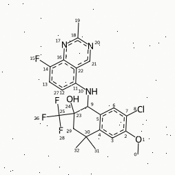 COc1cc2c(cc1Cl)C(Nc1ccc(F)c3nc(C)ncc13)C(O)(C(F)(F)F)CC2(C)C